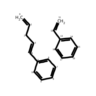 C=CCC=Cc1ccccc1.C=Cc1ccccc1